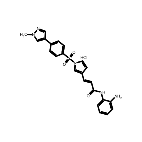 Cl.Cn1cc(-c2ccc(S(=O)(=O)n3ccc(/C=C/C(=O)Nc4ccccc4N)c3)cc2)cn1